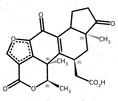 C[C@H]1OC(=O)c2coc3c2[C@@]1(C)C1=C(C3=O)C2CCC(=O)[C@@]2(C)C[C@H]1CC(=O)O